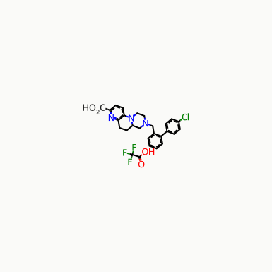 O=C(O)C(F)(F)F.O=C(O)c1ccc2c(n1)CCC1CN(Cc3ccccc3-c3ccc(Cl)cc3)CCN21